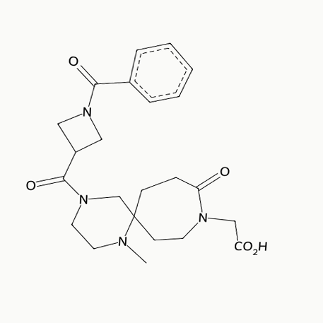 CN1CCN(C(=O)C2CN(C(=O)c3ccccc3)C2)CC12CCC(=O)N(CC(=O)O)CC2